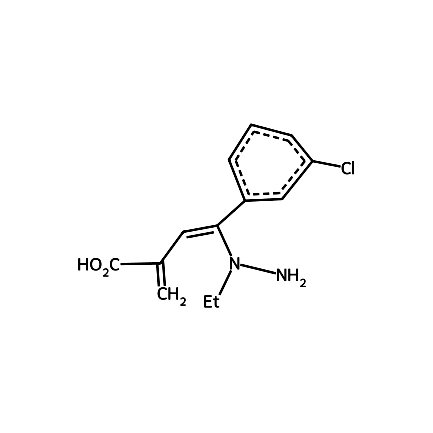 C=C(/C=C(/c1cccc(Cl)c1)N(N)CC)C(=O)O